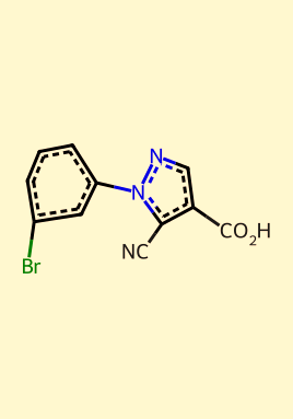 N#Cc1c(C(=O)O)cnn1-c1cccc(Br)c1